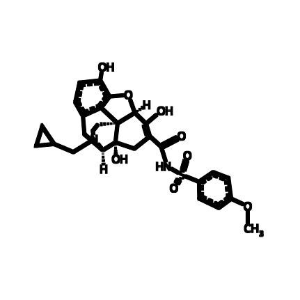 COc1ccc(S(=O)(=O)NC(=O)C2=C(O)[C@@H]3Oc4c(O)ccc5c4[C@@]34CCN(CC3CC3)[C@H](C5)[C@]4(O)C2)cc1